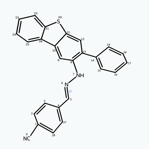 N#Cc1ccc(/C=N/Nc2cc3c(cc2-c2ccccc2)sc2ccccc23)cc1